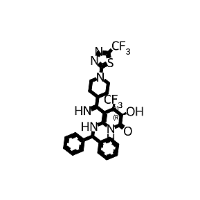 N=C(C1=C(NC(c2ccccc2)c2ccccc2)NC(=O)[C@H](O)[C@@H]1C(F)(F)F)C1CCN(c2nnc(C(F)(F)F)s2)CC1